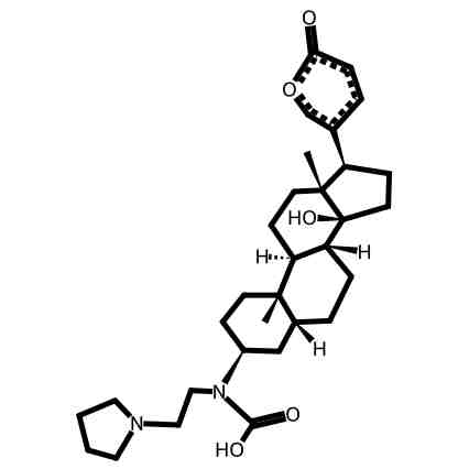 C[C@]12CC[C@H](N(CCN3CCCC3)C(=O)O)C[C@H]1CC[C@@H]1[C@@H]2CC[C@]2(C)[C@@H](c3ccc(=O)oc3)CC[C@]12O